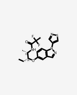 CC[C@@H](Oc1ccc2c(cnn2-c2cnsc2)c1)[C@H](C)NC(=O)C(C)(F)F